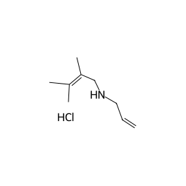 C=CCNCC(C)=C(C)C.Cl